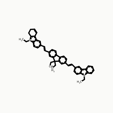 CCn1c2c(c3cc(/C=C/c4ccc5c(c4)C(CC)(CC)c4cc(/C=C/c6ccc7c(c6)c6ccccc6n7CC)ccc4-5)ccc31)C=CCC2